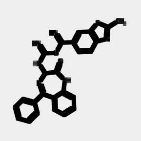 Cc1nc2ccc(C(=N)OC(=N)NC3N=C(c4ccccc4)c4ccccc4NC3=O)cc2s1